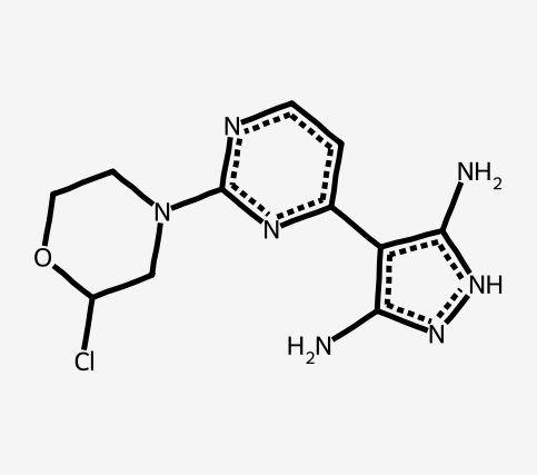 Nc1n[nH]c(N)c1-c1ccnc(N2CCOC(Cl)C2)n1